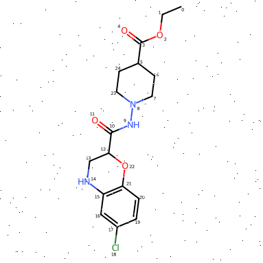 CCOC(=O)C1CCN(NC(=O)C2CNc3cc(Cl)ccc3O2)CC1